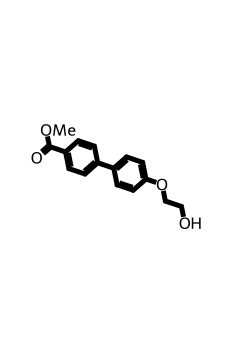 COC(=O)c1ccc(-c2ccc(OCCO)cc2)cc1